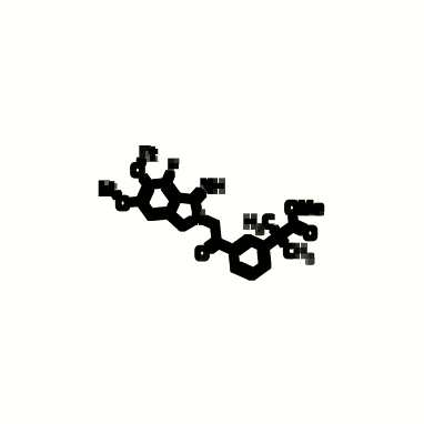 CCOc1cc2c(c(F)c1OCC)C(=N)N(CC(=O)c1cccc(C(C)(C)C(=O)OC)c1)C2